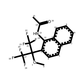 COC(c1ccc2ccccc2c1NC(C)=O)(C(F)(F)F)C(F)(F)F